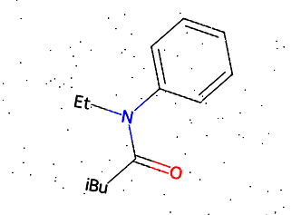 CCC(C)C(=O)N(CC)c1ccccc1